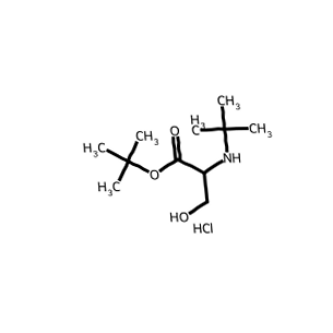 CC(C)(C)NC(CO)C(=O)OC(C)(C)C.Cl